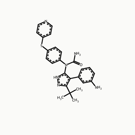 CC(C)(C)c1n[nH]c(N(C(N)=O)c2ccc(Sc3ccncc3)cc2)c1-c1cccc(N)c1